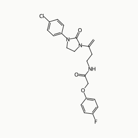 C=C(CCNC(=O)COc1ccc(F)cc1)N1CCN(c2ccc(Cl)cc2)C1=O